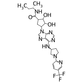 CC[C@H](C)NC(=O)C1CC(n2cnc3c(N[C@H]4CCN(c5ccc(C(F)(F)F)cn5)C4)ncnc32)C(O)C1O